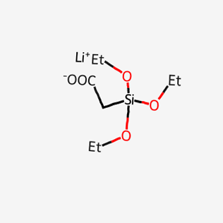 CCO[Si](CC(=O)[O-])(OCC)OCC.[Li+]